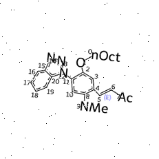 CCCCCCCCOc1cc(/C=C/C(C)=O)c(NC)cc1-n1nnc2ccccc21